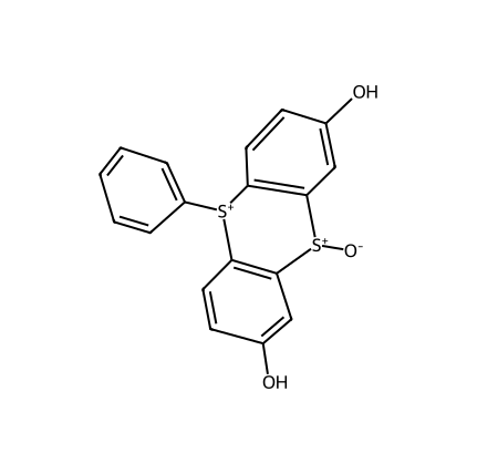 [O-][S+]1c2cc(O)ccc2[S+](c2ccccc2)c2ccc(O)cc21